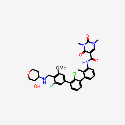 COc1cc(-c2cccc(-c3cccc(NC(=O)c4cn(C)c(=O)n(C)c4=O)c3C)c2Cl)cc(F)c1CN[C@@H]1CCOC[C@H]1O